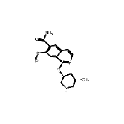 CC(C)Oc1cc2c(O[C@@H]3CNC[C@H](C)C3)nccc2cc1C(N)=O